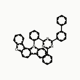 c1ccc(-c2cccc(-c3nc(-c4ccccc4)nc(-c4ccccc4-n4c5ccccc5c5ccc6oc7ccccc7c6c54)n3)c2)cc1